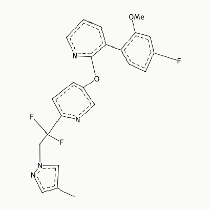 COc1cc(F)ccc1-c1cccnc1Oc1ccc(C(F)(F)Cn2cc(C)cn2)nc1